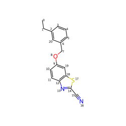 CCc1cccc(COc2ccc3nc(C#N)sc3c2)c1